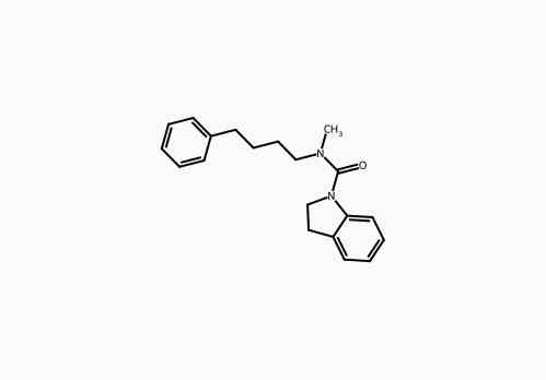 CN(CCCCc1ccccc1)C(=O)N1CCc2ccccc21